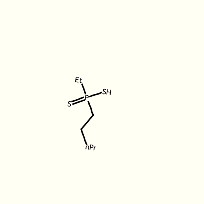 CCCCCP(=S)(S)CC